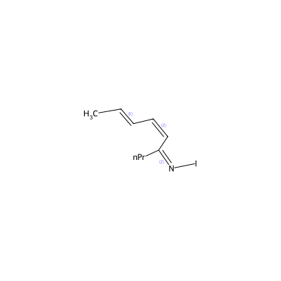 C/C=C/C=C\C(CCC)=N/I